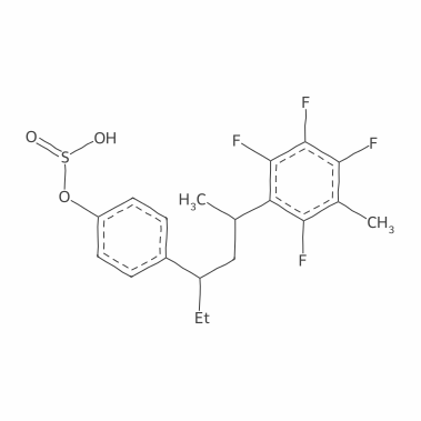 CCC(CC(C)c1c(F)c(C)c(F)c(F)c1F)c1ccc(OS(=O)O)cc1